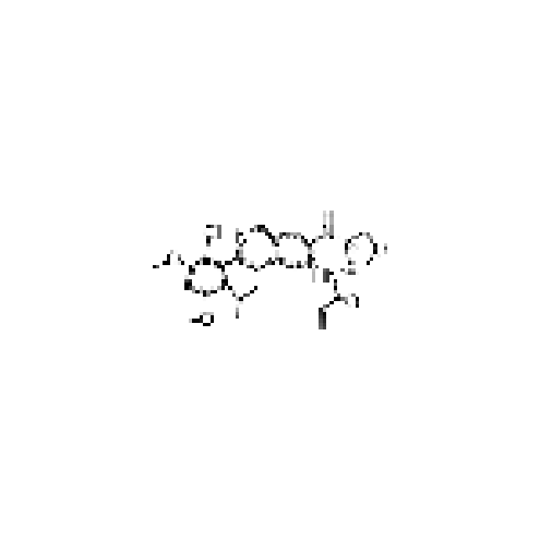 C=CC(=O)N[C@H]1COC[C@H]1Nc1cc2cnc(-c3c(Cl)c(OC)cc(OC)c3C(C)C)cc2cn1